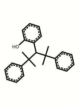 CC(C)(c1ccccc1)C(c1ccccc1O)C(C)(C)c1ccccc1